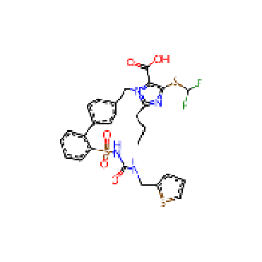 CCCc1nc(SC(F)F)c(C(=O)O)n1Cc1ccc(-c2ccccc2S(=O)(=O)NC(=O)NCc2cccs2)cc1